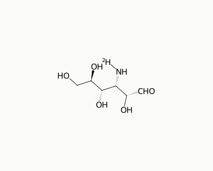 [2H]N[C@@H]([C@H](O)[C@H](O)CO)[C@@H](O)C=O